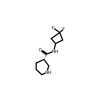 O=C(NC1CC(F)(F)C1)[C@H]1CCCNC1